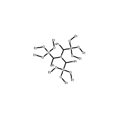 CCCC(N(C(CCC)[Si](OCC)(OCC)OCC)C(CCC)[Si](OCC)(OCC)OCC)[Si](OCC)(OCC)OCC